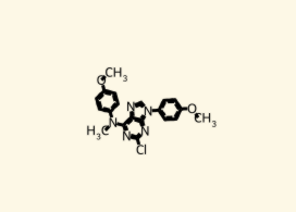 COc1ccc(N(C)c2nc(Cl)nc3c2ncn3-c2ccc(OC)cc2)cc1